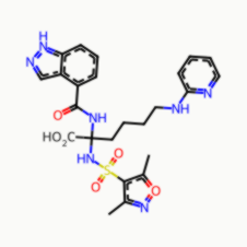 Cc1noc(C)c1S(=O)(=O)NC(CCCCNc1ccccn1)(NC(=O)c1cccc2[nH]ncc12)C(=O)O